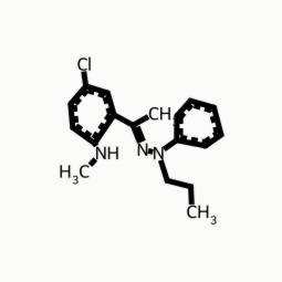 CCCN(/N=C(\C)c1cc(Cl)ccc1NC)c1ccccc1